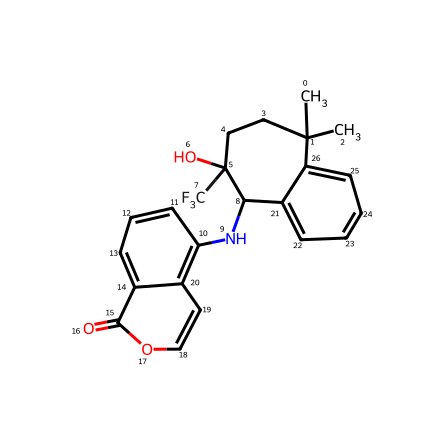 CC1(C)CCC(O)(C(F)(F)F)C(Nc2cccc3c(=O)occc23)c2ccccc21